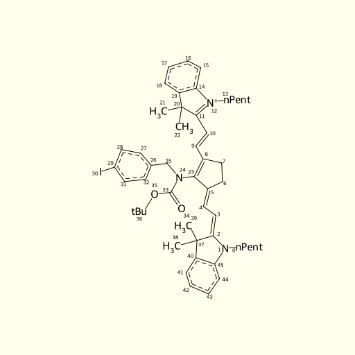 CCCCCN1/C(=C/C=C2\CCC(/C=C/C3=[N+](CCCCC)c4ccccc4C3(C)C)=C2N(Cc2ccc(I)cc2)C(=O)OC(C)(C)C)C(C)(C)c2ccccc21